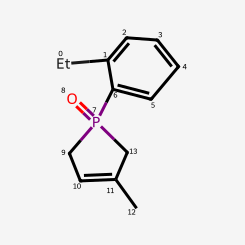 CCc1ccccc1P1(=O)CC=C(C)C1